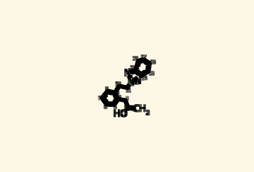 C=C(O)Cc1ccccc1CCn1nc2ccccc2n1